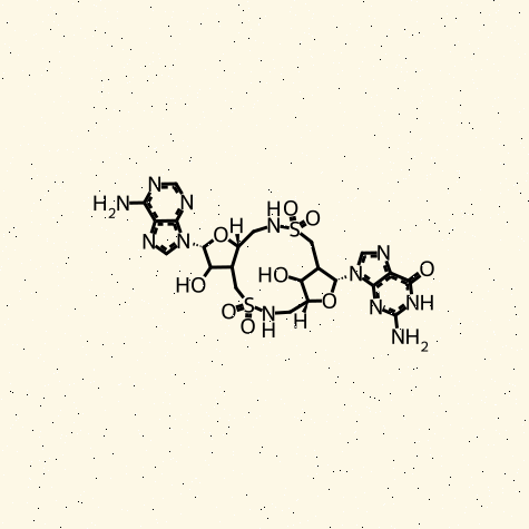 Nc1nc2c(ncn2[C@@H]2O[C@@H]3CNS(=O)(=O)CC4C(O)[C@H](n5cnc6c(N)ncnc65)O[C@@H]4CNS(=O)(=O)CC2C3O)c(=O)[nH]1